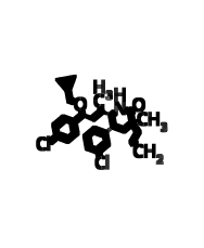 C=CC[C@@]1(C)C[C@H](c2cccc(Cl)c2)[C@H](C(C)C[C@H](OCC2CC2)c2ccc(Cl)cc2)NC1=O